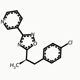 C[C@H](Cc1ccc(Cl)cc1)c1nc(-c2cccnc2)no1